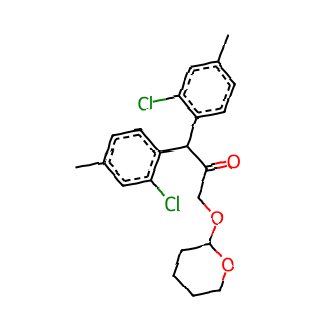 Cc1ccc(C(C(=O)COC2CCCCO2)c2ccc(C)cc2Cl)c(Cl)c1